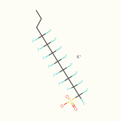 CCCC(F)(F)C(F)(F)C(F)(F)C(F)(F)C(F)(F)C(F)(F)C(F)(F)C(F)(F)S(=O)(=O)[O-].[K+]